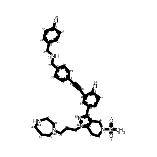 CS(=O)(=O)N1CCc2c(c(-c3ccc(Cl)c(C#Cc4ccc(CNCc5ccc(Cl)cc5)cc4)c3)nn2CCCN2CCCNCC2)C1